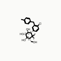 Cc1ccc(Cc2cc([C@H]3[C@H](O)[C@@H](O)[C@H](O)[C@@H](CO)C3(F)F)ccc2Cl)cc1